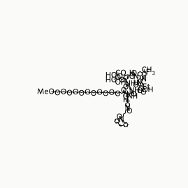 CC[C@@]1(O)C(=O)OCc2c1cc1n(c2=O)Cc2c-1nc1cc(F)c(C)c3c1c2[C@@H](NC(=O)OCc1ccc(O[C@@H]2O[C@H](C(=O)O)[C@@H](O)[C@H](O)[C@H]2O)c(CNC(=O)CCNC(=O)[C@H](CNC(=O)CCOCCOCCOCCOCCOCCOCCOCCOCCOCCOCCOCCOC)NC(=O)C2CC4(CCN(C(=O)CCCCC(=O)N5Cc6ccccc6C#Cc6ccccc65)CC4)C2)c1)CC3